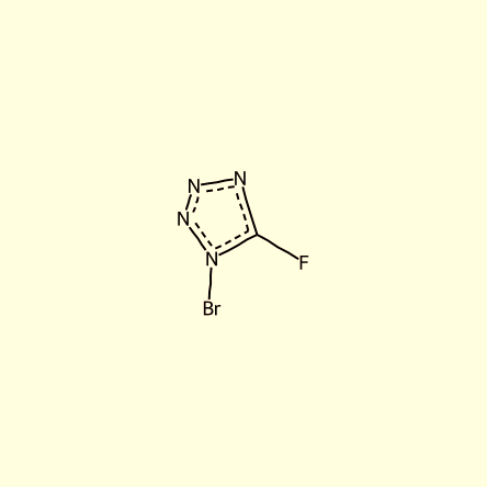 Fc1nnnn1Br